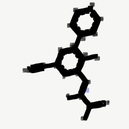 CC(=O)/C(C)=C/c1cc(C#N)cc(-c2ccncc2)c1C